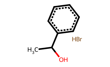 Br.CC(O)c1ccccc1